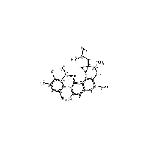 COc1cc2nc(C)nc(N[C@H](C)c3cc(N)cc(C(F)(F)F)c3F)c2cc1O[C@@H](C)C1(CN(C)C)CC1